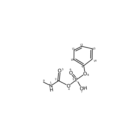 CNC(=O)OP(=O)(O)Oc1ccccc1